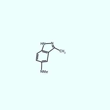 CNc1ccc2[nH]nc(C)c2c1